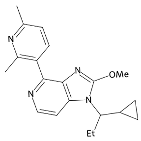 CCC(C1CC1)n1c(OC)nc2c(-c3ccc(C)nc3C)nccc21